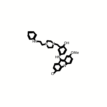 COc1ccc2nc3cc(Cl)ccc3c(Nc3ccc(O)c(CN4CCN(CCNc5ccccc5)CC4)c3)c2c1